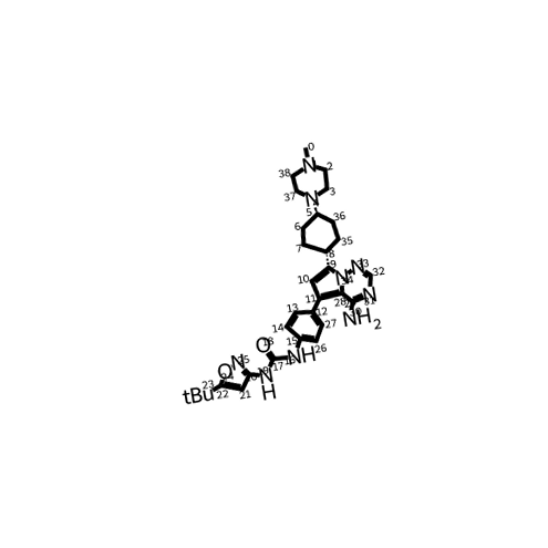 CN1CCN([C@H]2CC[C@@H](c3cc(-c4ccc(NC(=O)Nc5cc(C(C)(C)C)on5)cc4)c4c(N)ncnn43)CC2)CC1